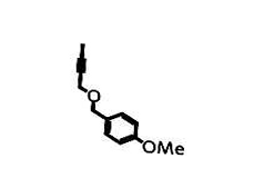 CC#CCOCc1ccc(OC)cc1